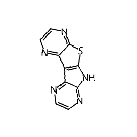 c1cnc2c(n1)[nH]c1sc3nccnc3c12